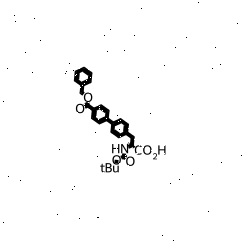 CC(C)(C)OC(=O)N[C@@H](Cc1ccc(-c2ccc(C(=O)OCc3ccccc3)cc2)cc1)C(=O)O